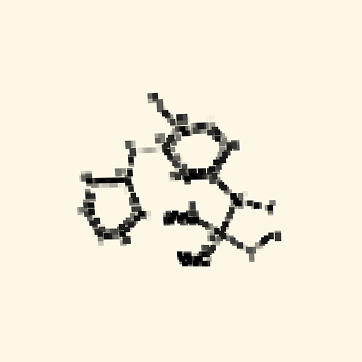 COC1(OC)CCCN1c1ccc(I)c(Cc2ccccc2)n1